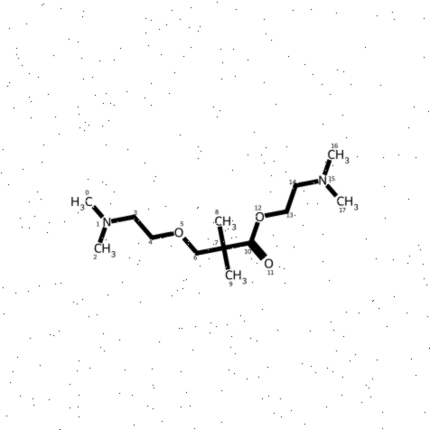 CN(C)CCOCC(C)(C)C(=O)OCCN(C)C